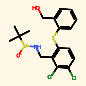 CC(C)(C)[S+]([O-])NCc1c(Sc2ccccc2CO)ccc(Cl)c1Cl